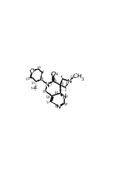 CN1CC2(C1)C(=O)N([C@@H]1CCOC[C@H]1F)Cc1cncnc12